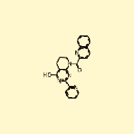 O=C(c1ccc2ccccc2n1)N1CCCc2c(O)nc(-c3ccccn3)nc21